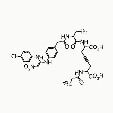 CC(C)CC(NC(=O)Cc1ccc(NC(=C[N+](=O)[O-])Nc2ccc(Cl)cc2)cc1)C(=O)NC(CC#CCC(NC(=O)CC(C)(C)C)C(=O)O)C(=O)O